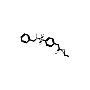 CCOC(=O)Cc1ccc(S(=O)(=O)NCc2ccccc2)cc1